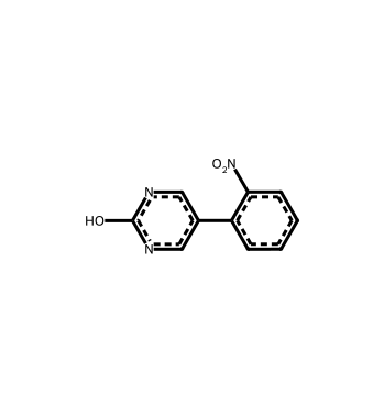 O=[N+]([O-])c1ccccc1-c1cnc(O)nc1